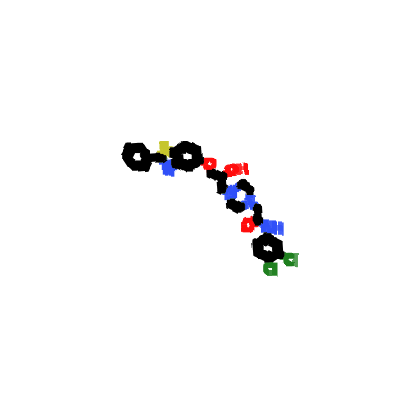 O=C(CN1CCN(CC(O)COc2ccc3sc(-c4ccccc4)nc3c2)CC1)Nc1ccc(Cl)c(Cl)c1